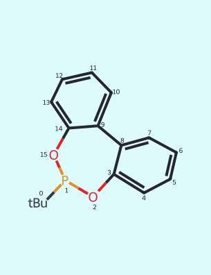 CC(C)(C)p1oc2ccccc2c2ccccc2o1